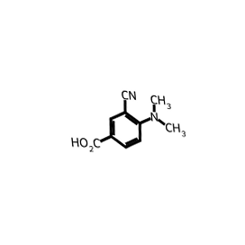 CN(C)c1ccc(C(=O)O)cc1C#N